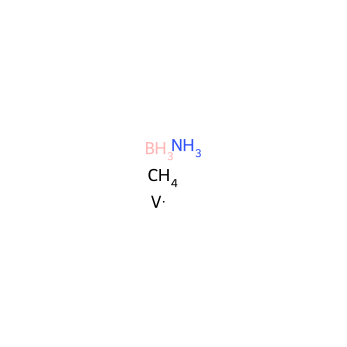 B.C.N.[V]